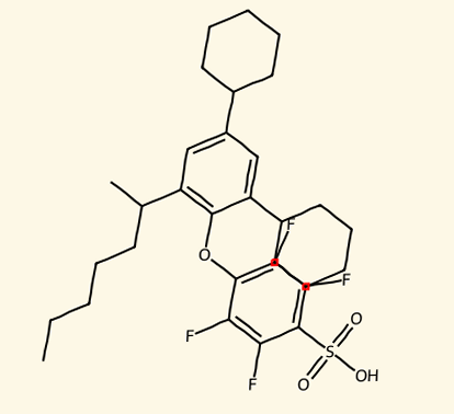 CCCCCC(C)c1cc(C2CCCCC2)cc(C2CCCCC2)c1Oc1c(F)c(F)c(S(=O)(=O)O)c(F)c1F